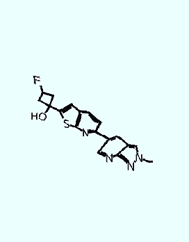 Cn1cc2cc(-c3ccc4cc(C5(O)CC(F)C5)sc4n3)cnc2n1